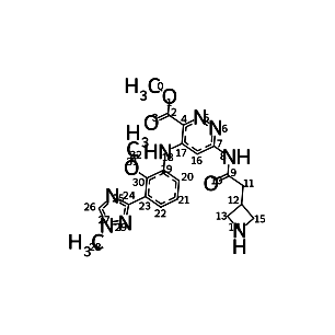 COC(=O)c1nnc(NC(=O)CC2CNC2)cc1Nc1cccc(-c2ncn(C)n2)c1OC